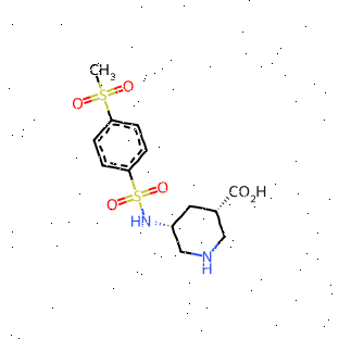 CS(=O)(=O)c1ccc(S(=O)(=O)N[C@H]2CNC[C@@H](C(=O)O)C2)cc1